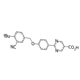 CC(C)(C)c1ccc(COc2ccc(-c3ncc(C(=O)O)cn3)cc2)cc1C#N